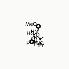 CCCN(CCC)C(=O)[C@@H]1[C@H](C)[C@H]1C(=O)N[C@@H](Cc1cc(F)cc(F)c1)[C@H](O)CNCc1cccc(OC)c1